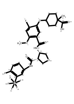 COc1cc(F)c(OC2CCC(C)(C(=O)O)CC2)cc1C(=O)N[C@@H]1COC[C@@H]1C(=O)Nc1ccc(F)c(S(F)(F)(F)(F)F)c1